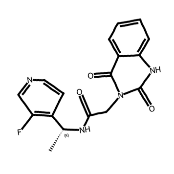 C[C@@H](NC(=O)Cn1c(=O)[nH]c2ccccc2c1=O)c1ccncc1F